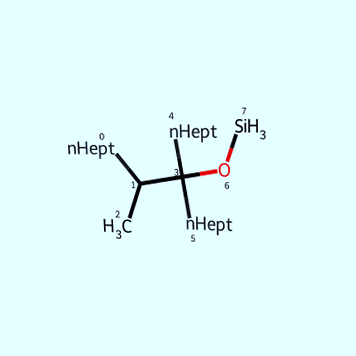 CCCCCCCC(C)C(CCCCCCC)(CCCCCCC)O[SiH3]